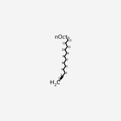 [CH2]C#CCCCCCCCCCCCCCCCCCC[CH2]